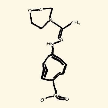 C/C(=N/Nc1ccc([N+](=O)[O-])cc1)N1CCOCC1